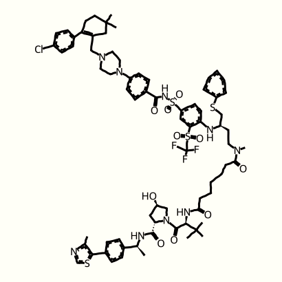 Cc1ncsc1-c1ccc([C@H](C)NC(=O)[C@@H]2C[C@@H](O)CN2C(=O)[C@@H](NC(=O)CCCCCC(=O)N(C)CC[C@H](CSc2ccccc2)Nc2ccc(S(=O)(=O)NC(=O)c3ccc(N4CCN(CC5=C(c6ccc(Cl)cc6)CCC(C)(C)C5)CC4)cc3)cc2S(=O)(=O)C(F)(F)F)C(C)(C)C)cc1